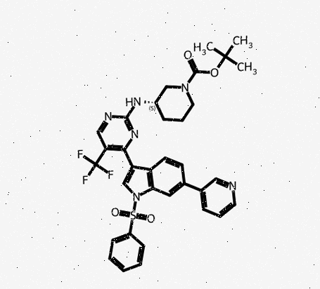 CC(C)(C)OC(=O)N1CCC[C@H](Nc2ncc(C(F)(F)F)c(-c3cn(S(=O)(=O)c4ccccc4)c4cc(-c5cccnc5)ccc34)n2)C1